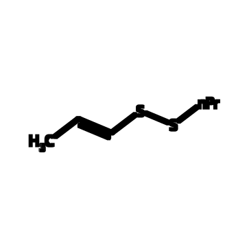 C/C=C/SSCCC